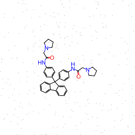 O=C(CN1CCCC1)Nc1ccc(C2(c3ccc(NC(=O)CN4CCCC4)cc3)c3ccccc3-c3ccccc32)cc1